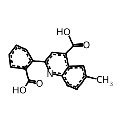 Cc1ccc2nc(-c3ccccc3C(=O)O)cc(C(=O)O)c2c1